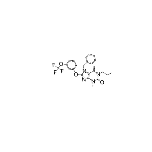 C=C1c2c(nc(Oc3cccc(OC(F)(F)F)c3)n2Cc2ccccc2)N(C)C(=O)N1CCC